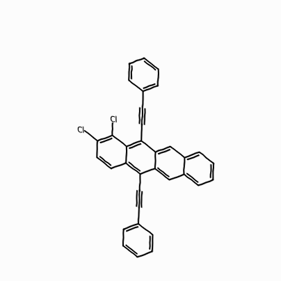 Clc1ccc2c(C#Cc3ccccc3)c3cc4ccccc4cc3c(C#Cc3ccccc3)c2c1Cl